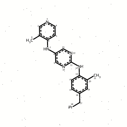 Cc1cnccc1Nc1cnc(Nc2ccc(CC(C)C)cc2C)nc1